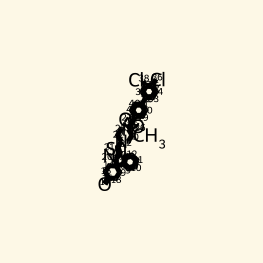 CC1CN(c2nc(C3(c4ccccc4)CCC(=O)CC3)ns2)CCN1S(=O)(=O)c1ccc(-c2ccc(Cl)c(Cl)c2)cc1